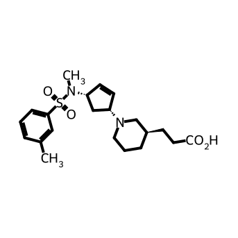 Cc1cccc(S(=O)(=O)N(C)[C@@H]2C=C[C@H](N3CCC[C@H](CCC(=O)O)C3)C2)c1